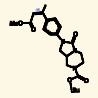 COC(=O)/C=C(/C)c1ccc(N2CC3CN(C(=O)OC(C)(C)C)CCN3C2=O)cc1